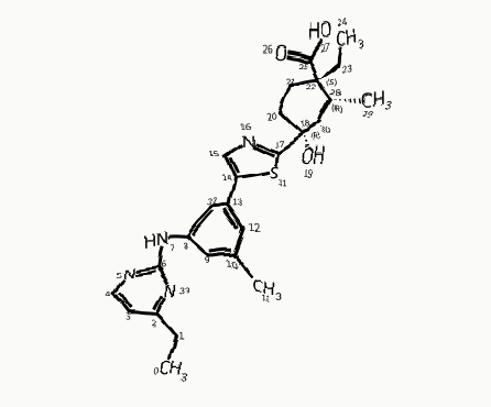 CCc1ccnc(Nc2cc(C)cc(-c3cnc([C@@]4(O)CC[C@](CC)(C(=O)O)[C@H](C)C4)s3)c2)n1